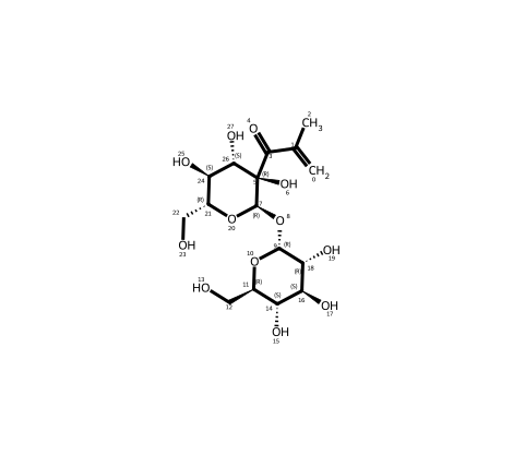 C=C(C)C(=O)[C@]1(O)[C@@H](O[C@H]2O[C@H](CO)[C@@H](O)[C@H](O)[C@H]2O)O[C@H](CO)[C@@H](O)[C@@H]1O